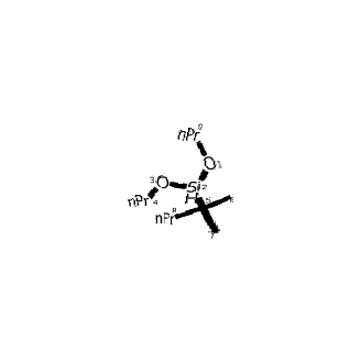 CCCO[SiH](OCCC)C(C)(C)CCC